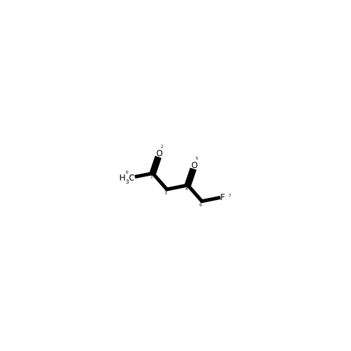 CC(=O)CC(=O)CF